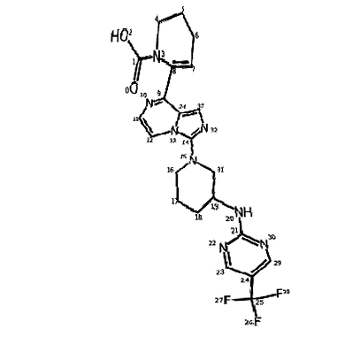 O=C(O)N1CCCC=C1c1nccn2c(N3CCCC(Nc4ncc(C(F)(F)F)cn4)C3)ncc12